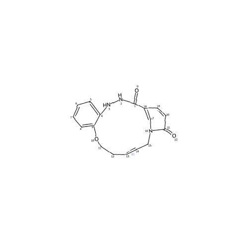 O=C1NNc2ccccc2OCC/C=C/Cn2cc1ccc2=O